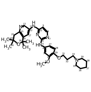 COc1cc(Nc2nccc(Nc3cnc4c(c3)C(C)(C)OC(C)(C)C4)n2)ccc1OCCCN1CCCCC1